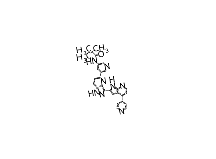 CC(C)(C)C(=O)Nc1cncc(-c2ccc3[nH]nc(-c4cc5c(-c6ccncc6)ccnc5[nH]4)c3n2)c1